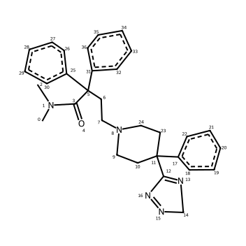 CN(C)C(=O)C(CCN1CCC(C2=NCN=N2)(c2ccccc2)CC1)(c1ccccc1)c1ccccc1